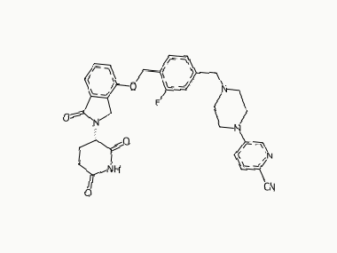 N#Cc1ccc(N2CCN(Cc3ccc(COc4cccc5c4CN([C@H]4CCC(=O)NC4=O)C5=O)c(F)c3)CC2)cn1